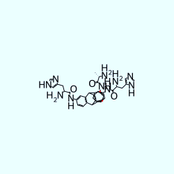 C[C@H](N)C(=O)NC1=CC=C2CC1C1c3cc(NC(=O)[C@@H](N)Cc4c[nH]cn4)ccc3C2c2ccc(NC(=O)[C@@H](N)Cc3cnc[nH]3)cc21